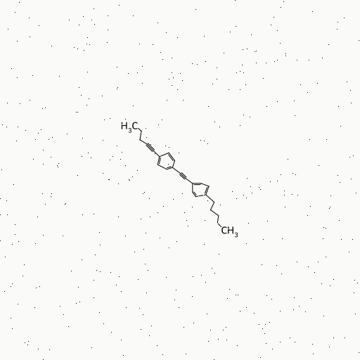 CCCC#Cc1ccc(C#Cc2ccc(CCCCC)cc2)cc1